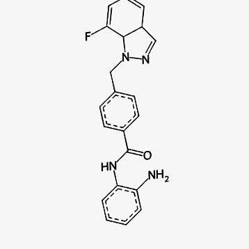 Nc1ccccc1NC(=O)c1ccc(CN2N=CC3C=CC=C(F)C32)cc1